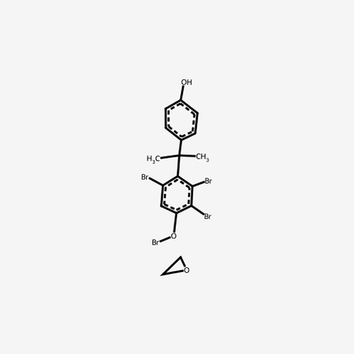 C1CO1.CC(C)(c1ccc(O)cc1)c1c(Br)cc(OBr)c(Br)c1Br